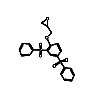 O=S(=O)(c1ccccc1)c1ccc(OCC2CO2)c(S(=O)(=O)c2ccccc2)c1